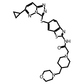 O=C(CN1CCC(CN2CCOCC2)CC1)Nc1nc2ccc(Sc3nnc4ccc(C5CC5)nn34)cc2s1